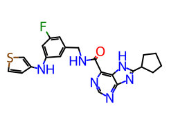 O=C(NCc1cc(F)cc(Nc2ccsc2)c1)c1ncnc2nc(C3CCCC3)[nH]c12